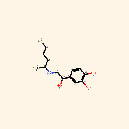 CC(CCCC#N)NC[C@H](O)c1ccc(O)c(O)c1